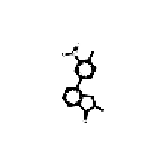 Cc1ccc(-c2cccc3c2CC(C)C3=O)cc1[N+](=O)[O-]